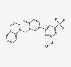 CSc1nc(-c2ccc(=O)n(Cc3cccc4ccccc34)c2)cc(C(F)(F)F)n1